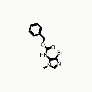 Cn1cnc(Br)c1NC(=O)OCc1ccccc1